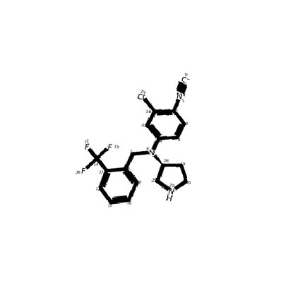 [C-]#[N+]c1ccc(N(Cc2ccccc2C(F)(F)F)[C@H]2CCNC2)cc1Cl